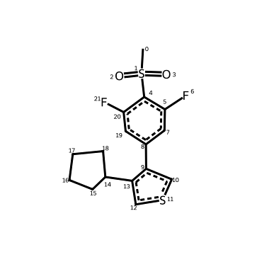 CS(=O)(=O)c1c(F)cc(-c2cscc2C2CCCC2)cc1F